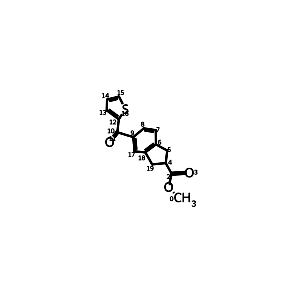 COC(=O)C1Cc2ccc(C(=O)c3cccs3)cc2C1